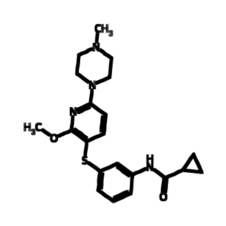 COc1nc(N2CCN(C)CC2)ccc1Sc1cccc(NC(=O)C2CC2)c1